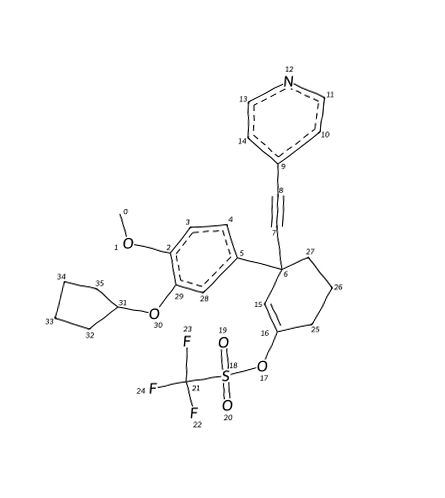 COc1ccc(C2(C#Cc3ccncc3)C=C(OS(=O)(=O)C(F)(F)F)CCC2)cc1OC1CCCC1